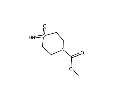 COC(=O)N1CCS(=N)(=O)CC1